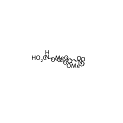 COc1cc(C=CC(=O)N2CCC=CC2=O)cc(OC)c1OCCOCCOCCNC(=O)O